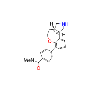 CNC(=O)c1ccc(-c2cccc3c2OCC[C@@H]2CNC[C@@H]32)cc1